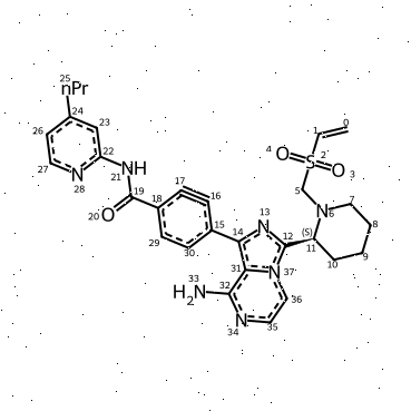 C=CS(=O)(=O)CN1CCCC[C@H]1c1nc(-c2c#cc(C(=O)Nc3cc(CCC)ccn3)cc2)c2c(N)nccn12